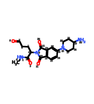 CNC(=O)C(CCC=O)N1C(=O)c2ccc(N3CCC(N)CC3)cc2C1=O